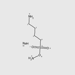 NCCCCS(=O)(=O)ON.[NaH]